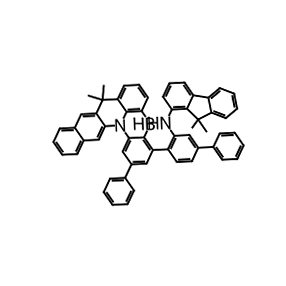 CC1(C)c2cc3ccccc3cc2N2c3cc(-c4ccccc4)cc(-c4ccc(-c5ccccc5)cc4Nc4cccc5c4C(C)(C)c4ccccc4-5)c3Bc3cccc1c32